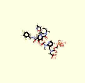 CC1=NO[C@@]2(CC[C@H](C)N3C[C@H]2n2cc(C(=O)NCc4ccc(F)cc4F)c(=O)c(OC(=O)N(C)c4ncccc4CN(CC(=O)O)C(=O)OCOP(=O)(O)O)c2C3=O)C1